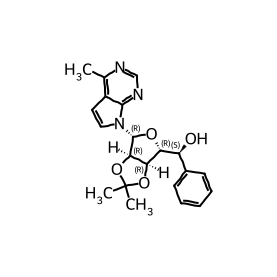 Cc1ncnc2c1ccn2[C@@H]1O[C@H]([C@@H](O)c2ccccc2)[C@H]2OC(C)(C)O[C@H]21